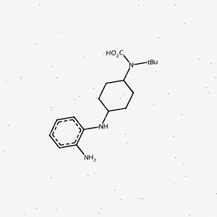 CC(C)(C)N(C(=O)O)C1CCC(Nc2ccccc2N)CC1